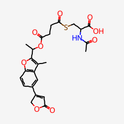 CC(=O)NC(CSC(=O)CCC(=O)OC(C)c1oc2ccc(C3=CC(=O)OC3)cc2c1C)C(=O)O